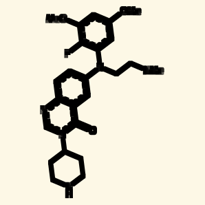 CNCCN(c1ccc2ncn(C3CCNCC3)c(=O)c2c1)c1cc(OC)cc(OC)c1F